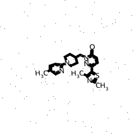 Cc1ccc(N2CCC(Cn3nc(-c4sc(C)nc4C)ccc3=O)CC2)nc1